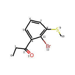 CCC(=O)c1cccc(SC)c1Br